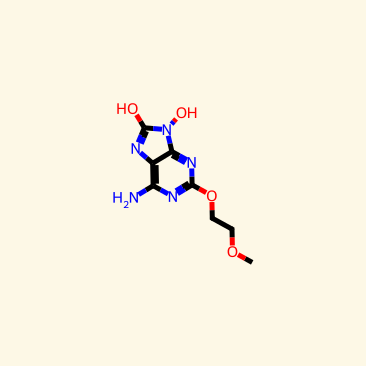 COCCOc1nc(N)c2nc(O)n(O)c2n1